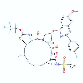 COc1ccc2c(O[C@@H]3C[C@H]4C(=O)N[C@]5(C(=O)NS(=O)(=O)C6(C)CC6)CC5/C=C\CC[C@H](C)C[C@@H](C)[C@H](NC(=O)OC(C)(C)C(F)(F)F)C(=O)N4C3)nc(-c3ccc(F)cc3)cc2c1